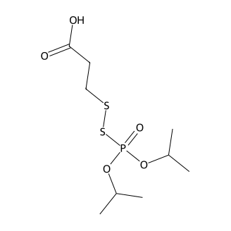 CC(C)OP(=O)(OC(C)C)SSCCC(=O)O